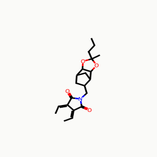 C/C=C1/C(=O)N(CC2CC3CC2C2OC(C)(CCC)OC32)C(=O)/C1=C/C